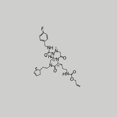 C=CCOC(=O)NCCC[C@H]1C(=O)N(CCC2CC=CS2)C[C@H]2N1C(=O)CN(C)N2C(=O)NCc1ccc(F)cc1